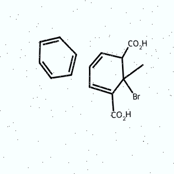 CC1(Br)C(C(=O)O)=CC=CC1C(=O)O.c1ccccc1